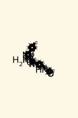 Cc1ccc(-c2cnc(N)c(-c3cc(-c4ccc(CNC5CCOC5)cc4)no3)n2)cc1